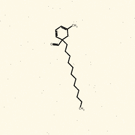 CCCCCCCCCCCCC1(C=O)C=CC=C(C)C1